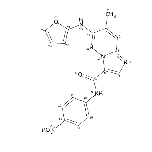 Cc1cc2ncc(C(=O)Nc3ccc(C(=O)O)cc3)n2nc1Nc1ccco1